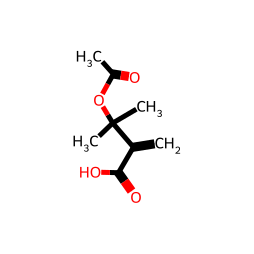 C=C(C(=O)O)C(C)(C)OC(C)=O